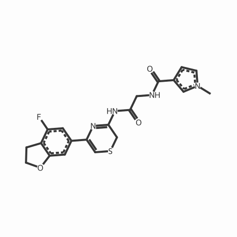 Cn1ccc(C(=O)NCC(=O)NC2=NC(c3cc(F)c4c(c3)OCC4)=CSC2)c1